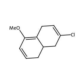 COC1=C2CC=C(Cl)CC2CC=C1